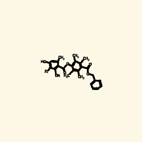 CCc1c(O)cc(C)c(C(=O)Oc2c(C)c(C)c(C(=O)OCc3ccccc3)c(C)c2C)c1O